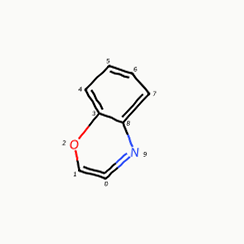 C1=COc2ccccc2N=1